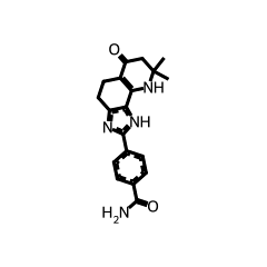 CC1(C)CC(=O)C2=C(N1)c1[nH]c(-c3ccc(C(N)=O)cc3)nc1CC2